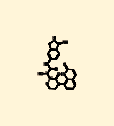 N=C1NCc2cc(NC(=O)[C@H](O)[C@H]3OCCN(c4cccc5ccc(=O)[nH]c45)C3=O)ccc21